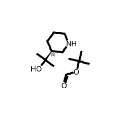 CC(C)(C)OC=O.CC(C)(O)[C@H]1CCCNC1